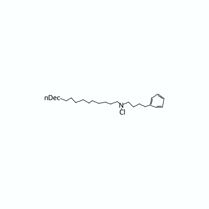 CCCCCCCCCCCCCCCCCCCCN(Cl)CCCCc1ccccc1